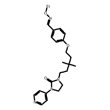 CCON=Cc1ccc(OCCC(C)(C)CCN2CCN(c3ccncc3)C2=O)cc1